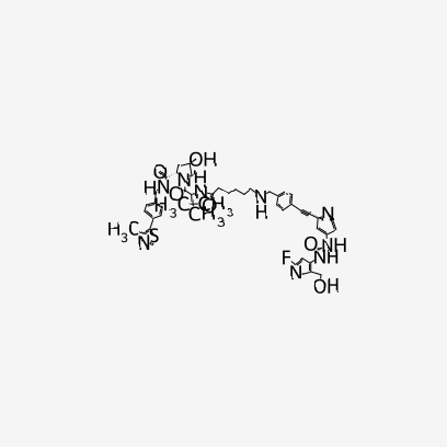 Cc1ncsc1-c1ccc(CNC(=O)[C@@H]2C[C@@H](O)CN2C(=O)[C@@H](NC(=O)CCCCCNCc2ccc(C#Cc3cc(NC(=O)Nc4cc(F)ncc4CO)ccn3)cc2)C(C)(C)C)cc1